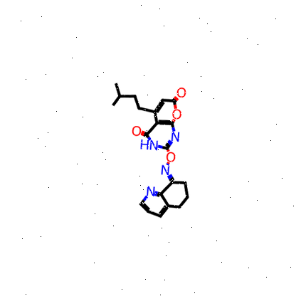 CC(C)CCc1cc(=O)oc2nc(O/N=C3\CCCc4cccnc43)[nH]c(=O)c12